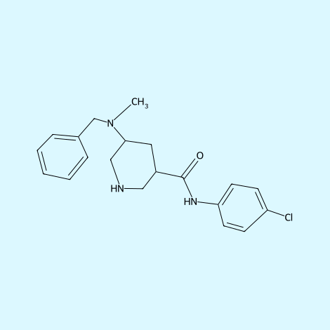 CN(Cc1ccccc1)C1CNCC(C(=O)Nc2ccc(Cl)cc2)C1